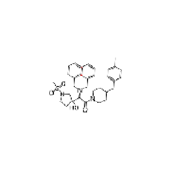 Cc1ccc(CC2CCN(C(=O)C(N(Cc3ccccc3)Cc3ccccc3)C3(O)CCN(S(C)(=O)=O)C3)CC2)cc1